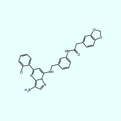 Bc1cnn2c(NCc3cccc(NC(=O)Cc4ccc5c(c4)OCO5)c3)cc(-c3ccccc3Cl)nc12